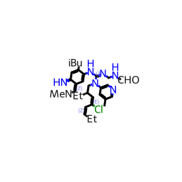 CC/C=C\C(Cl)=C/C(CC)CN(/C(=N\CNC=O)NC1=C/C(=C/NC)C(=N)C=C1C(C)CC)c1cncc(C)c1